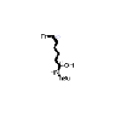 CC/C=C\CCC[C@H](O)NCCCC